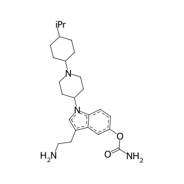 CC(C)C1CCC(N2CCC(n3cc(CCN)c4cc(OC(N)=O)ccc43)CC2)CC1